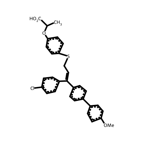 COc1ccc(-c2ccc(C(=CCSc3ccc(OC(C)C(=O)O)cc3)c3ccc(Cl)cc3)cc2)cc1